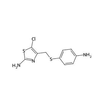 Nc1ccc(SCc2nc(N)sc2Cl)cc1